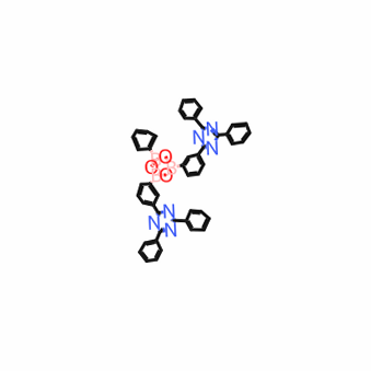 c1ccc(B2OB(c3cccc(-c4nc(-c5ccccc5)nc(-c5ccccc5)n4)c3)OB(c3cccc(-c4nc(-c5ccccc5)nc(-c5ccccc5)n4)c3)O2)cc1